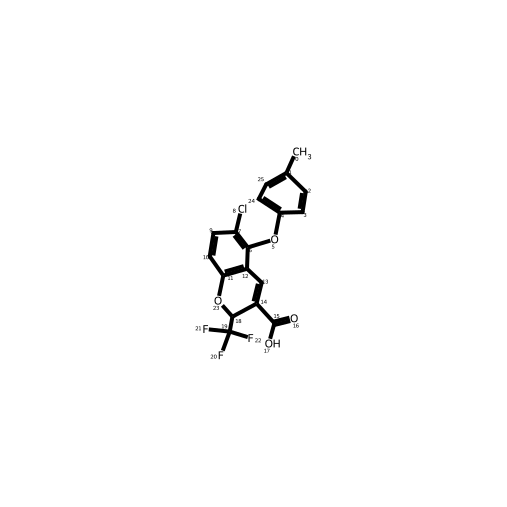 Cc1ccc(Oc2c(Cl)ccc3c2C=C(C(=O)O)C(C(F)(F)F)O3)cc1